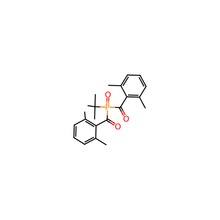 Cc1cccc(C)c1C(=O)P(=O)(C(=O)c1c(C)cccc1C)C(C)(C)C